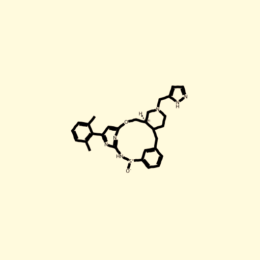 Cc1cccc(C)c1-c1cc2nc(n1)N[S+]([O-])c1cccc(c1)CC1CCN(Cc3ccn[nH]3)C[C@@H]1CO2